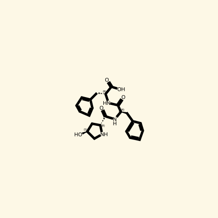 O=C(O)[C@@H](Cc1ccccc1)NC(=O)[C@@H](Cc1ccccc1)NC(=O)[C@H]1C[C@H](O)CN1